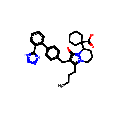 CCCCc1c(Cc2ccc(-c3ccccc3-c3nnn[nH]3)cc2)c(=O)n2n1CCCC2C1(C(=O)O)CCCCC1